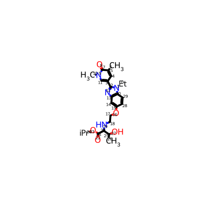 CCn1c(-c2cc(C)c(=O)n(C)c2)nc2cc(OCCNC(C(=O)OC(C)C)C(C)O)ccc21